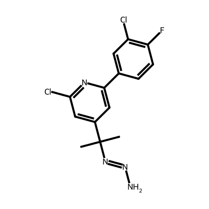 CC(C)(N=NN)c1cc(Cl)nc(-c2ccc(F)c(Cl)c2)c1